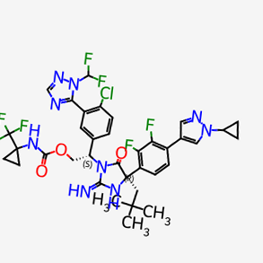 CC(C)(C)C[C@]1(c2ccc(-c3cnn(C4CC4)c3)c(F)c2F)NC(=N)N([C@H](COC(=O)NC2(C(F)(F)F)CC2)c2ccc(Cl)c(-c3ncnn3C(F)F)c2)C1=O